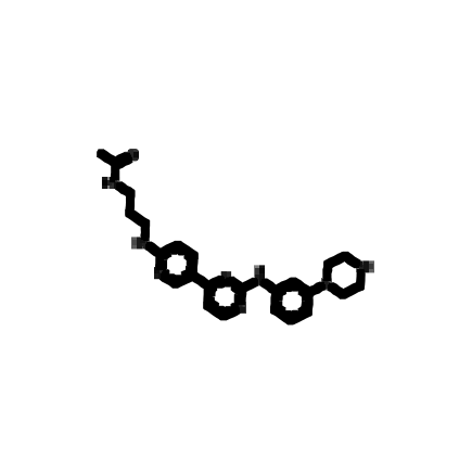 CC(=O)NCCCNc1ccc(-c2ccnc(Nc3cccc(N4CCNCC4)c3)n2)cn1